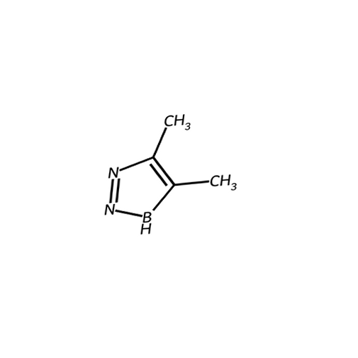 CC1=C(C)N=NB1